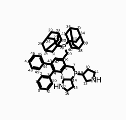 c1ccc(-c2cc(CP(C3CCNC3)C3CCNC3)c(CP(C34CC5CC(CC(C5)C3)C4)C34CC5CC(CC(C5)C3)C4)cc2-c2ccccc2)cc1